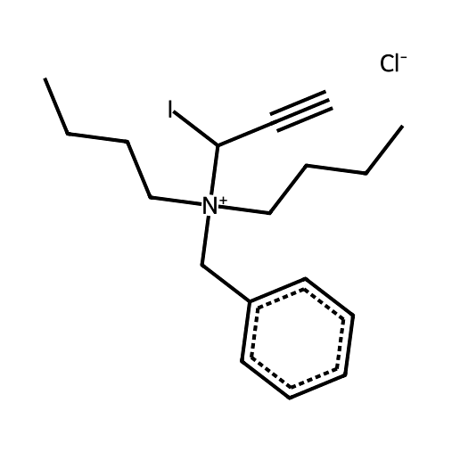 C#CC(I)[N+](CCCC)(CCCC)Cc1ccccc1.[Cl-]